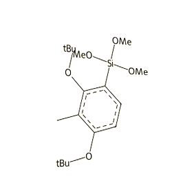 CO[Si](OC)(OC)c1ccc(OC(C)(C)C)c(C)c1OC(C)(C)C